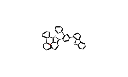 c1ccc(-c2ccccc2-c2sc(-c3ccc(-c4cccc5c4oc4ccccc45)cc3-c3ccccc3)c3ccccc23)cc1